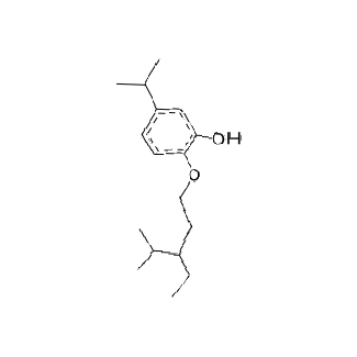 CCC(CCOc1ccc(C(C)C)cc1O)C(C)C